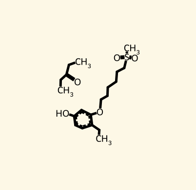 CCC(=O)CC.CCc1ccc(O)cc1OCCCCCCS(C)(=O)=O